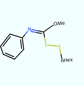 CCCCCCSSC(=Nc1ccccc1)OC